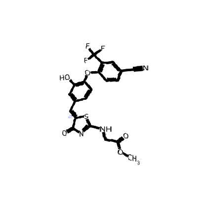 COC(=O)CNC1=NC(=O)/C(=C/c2ccc(Oc3ccc(C#N)cc3C(F)(F)F)c(O)c2)S1